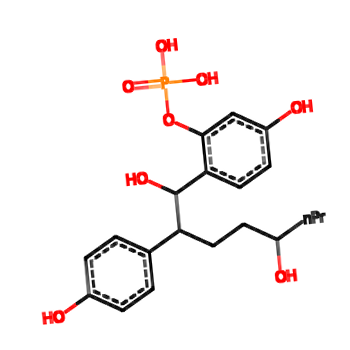 CCCC(O)CCC(c1ccc(O)cc1)C(O)c1ccc(O)cc1OP(=O)(O)O